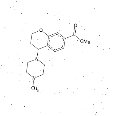 COC(=O)c1ccc2c(c1)OCCC2N1CCN(C)CC1